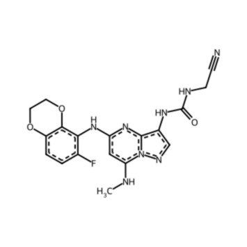 CNc1cc(Nc2c(F)ccc3c2OCCO3)nc2c(NC(=O)NCC#N)cnn12